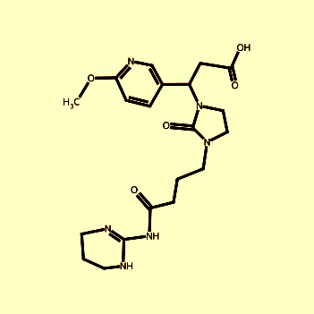 COc1ccc(C(CC(=O)O)N2CCN(CCCC(=O)NC3=NCCCN3)C2=O)cn1